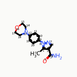 Cc1c(C(N)=O)cnn1-c1ccc(N2CCOCC2)cc1